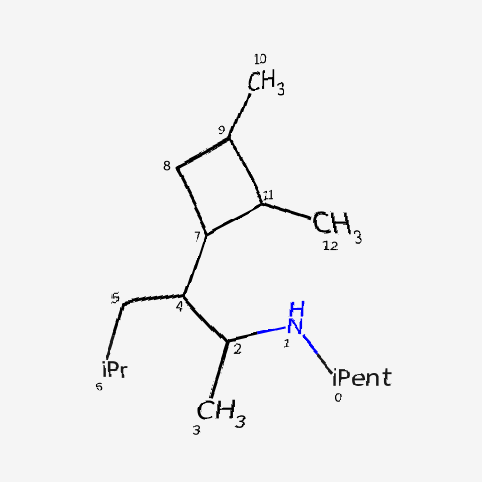 CCCC(C)NC(C)C(CC(C)C)C1CC(C)C1C